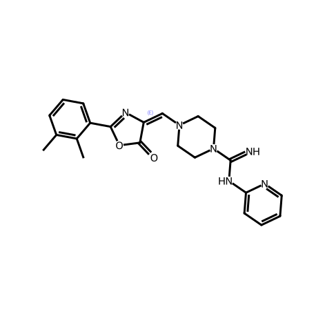 Cc1cccc(C2=N/C(=C/N3CCN(C(=N)Nc4ccccn4)CC3)C(=O)O2)c1C